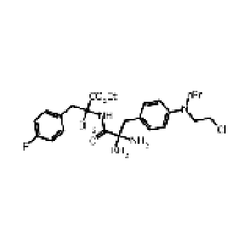 BC(N)(Cc1ccc(N(CCC)CCCl)cc1)C(=O)NC(B)(Cc1ccc(F)cc1)C(=O)OCC